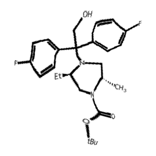 CC[C@@H]1CN(C(=O)OC(C)(C)C)[C@@H](C)CN1C(CO)(c1ccc(F)cc1)c1ccc(F)cc1